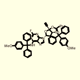 C#C[C@]1(OC(=O)C(C)C)O[C@@H](n2cnc3c(NC(c4ccccc4)(c4ccccc4)c4ccc(OC)cc4)nc(F)nc32)C[C@@H]1OC(c1ccccc1)(c1ccccc1)c1ccc(OC)cc1